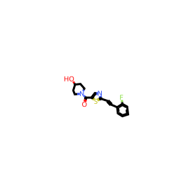 O=C(c1cnc(C#Cc2ccccc2F)s1)N1CCC(O)CC1